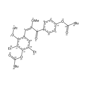 CCCOc1c(C=C(OC)C(=O)c2ccc(OC(=O)C(C)(C)C)cc2)cc(CC)c(OC(=O)C(C)(C)C)c1CC